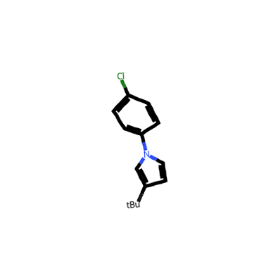 CC(C)(C)c1ccn(-c2ccc(Cl)cc2)c1